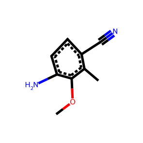 COc1c(N)ccc(C#N)c1C